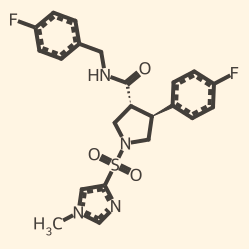 Cn1cnc(S(=O)(=O)N2C[C@H](C(=O)NCc3ccc(F)cc3)[C@@H](c3ccc(F)cc3)C2)c1